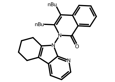 CCCCc1c(CCCC)n(-n2c3c(c4cccnc42)CCCC3)c(=O)c2ccccc12